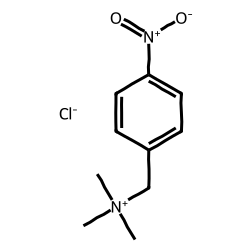 C[N+](C)(C)Cc1ccc([N+](=O)[O-])cc1.[Cl-]